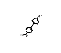 O=C(O)c1ccc(C2=CC=C(O)CC2)cc1